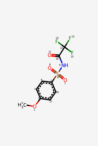 COc1ccc(S(=O)(=O)NC(=O)C(F)(F)F)cc1